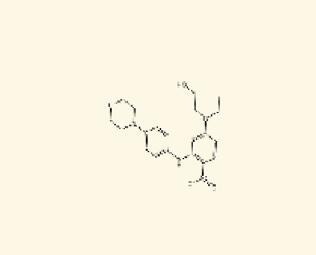 CCN(CCO)c1ccc([N+](=O)[O-])c(Nc2ccc(N3CCOCC3)cc2)n1